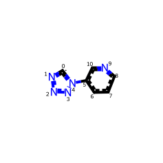 [c]1nnnn1-c1cccnc1